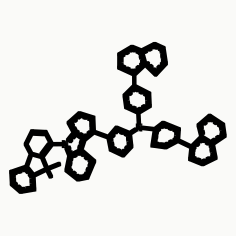 CC1(C)C2=C(n3c4ccccc4c4c(-c5cccc(N(c6ccc(-c7cccc8ccccc78)cc6)c6ccc(-c7cccc8ccccc78)cc6)c5)cccc43)C=CCC2c2ccccc21